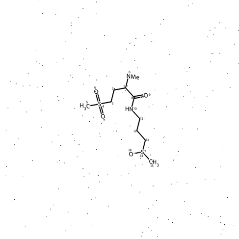 CNC(CCS(C)(=O)=O)C(=O)NCCC[S+](C)[O-]